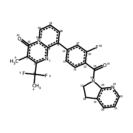 Cc1c(C(C)(F)F)nc2c(-c3ccc(C(=O)N4CCc5cccnc54)c(F)c3)cccn2c1=O